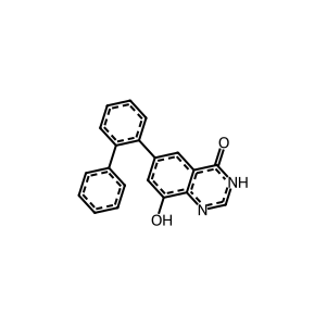 O=c1[nH]cnc2c(O)cc(-c3ccccc3-c3ccccc3)cc12